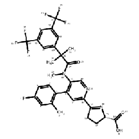 Cc1cc(F)ccc1-c1cc(C2=N[C@H](C(=O)O)CC2)ncc1N(C)C(=O)C(C)(C)c1cc(C(F)(F)F)cc(C(F)(F)F)c1